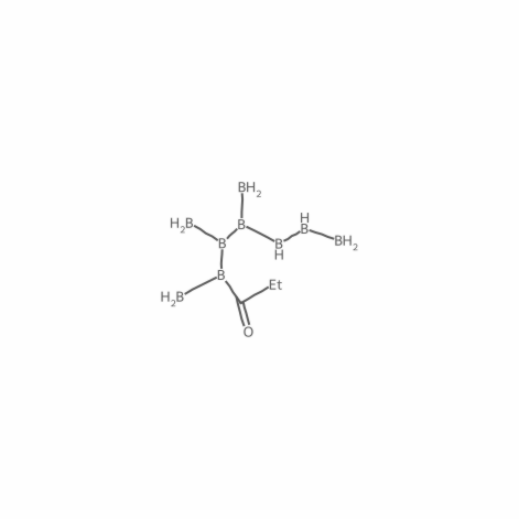 BBBB(B)B(B)B(B)C(=O)CC